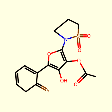 CC(=O)Oc1c(N2CCCS2(=O)=O)oc(C2=CC=CCC2=S)c1O